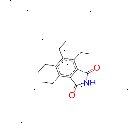 CCc1c(CC)c(CC)c2c(c1CC)C(=O)NC2=O